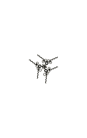 CCCCCCCC(=O)Oc1ccc(-c2nc(-c3ccc(OC(=O)CCCCCCC)c(OC(=O)CCCCCCC)c3)nc(-c3ccc(OC(=O)CCCCCCC)c(OC(=O)CCCCCCC)c3)n2)cc1OC(=O)CCCCCCC